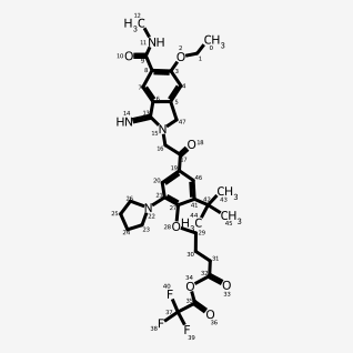 CCOc1cc2c(cc1C(=O)NC)C(=N)N(CC(=O)c1cc(N3CCCC3)c(OCCCC(=O)OC(=O)C(F)(F)F)c(C(C)(C)C)c1)C2